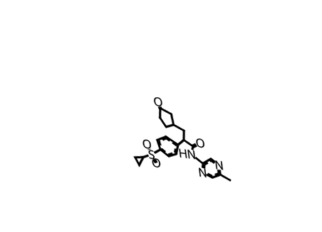 Cc1cnc(NC(=O)C(CC2CCC(=O)C2)c2ccc(S(=O)(=O)C3CC3)cc2)cn1